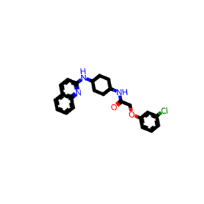 O=C(COc1cccc(Cl)c1)NC1CCC(Nc2ccc3ccccc3n2)CC1